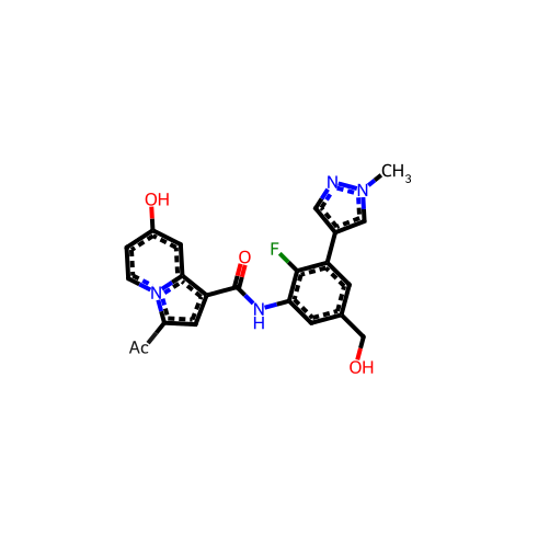 CC(=O)c1cc(C(=O)Nc2cc(CO)cc(-c3cnn(C)c3)c2F)c2cc(O)ccn12